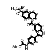 COC(=O)Nc1ccc(-c2cnc3ccc(C(=O)N4CCCc5cc(S(C)(=O)=O)ccc54)cn23)cn1